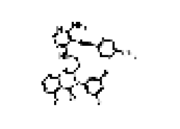 Cc1ccc(C#Cc2c(N)ncnc2NCCc2nc3cccc(Cl)c3c(=O)n2-c2cc(F)cc(F)c2)nc1